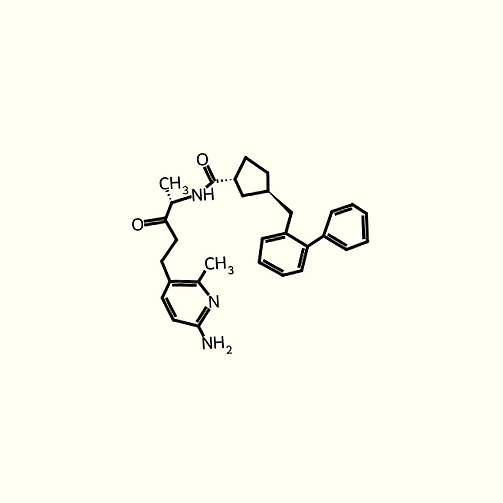 Cc1nc(N)ccc1CCC(=O)[C@H](C)NC(=O)[C@@H]1CC[C@@H](Cc2ccccc2-c2ccccc2)C1